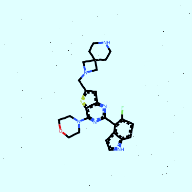 Fc1ccc2[nH]ccc2c1-c1nc(N2CCOCC2)c2sc(CN3CC4(CCNCC4)C3)cc2n1